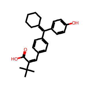 CC(C)(C)C(=Cc1ccc(C(=C2CCCCC2)c2ccc(O)cc2)cc1)C(=O)O